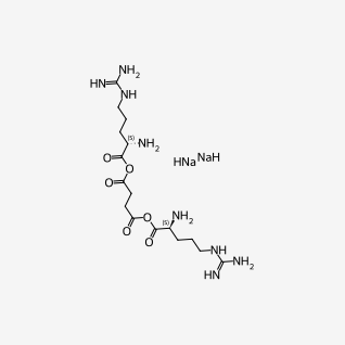 N=C(N)NCCC[C@H](N)C(=O)OC(=O)CCC(=O)OC(=O)[C@@H](N)CCCNC(=N)N.[NaH].[NaH]